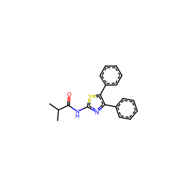 CC(C)C(=O)Nc1nc(-c2ccccc2)c(-c2ccccc2)s1